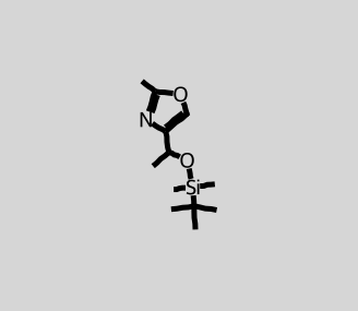 Cc1nc(C(C)O[Si](C)(C)C(C)(C)C)co1